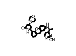 CC(Nc1ccc2c(c1)Cc1cccc(-c3cc(N4CCOCC4)cc(=O)[nH]3)c1O2)c1ccnc(C#N)n1